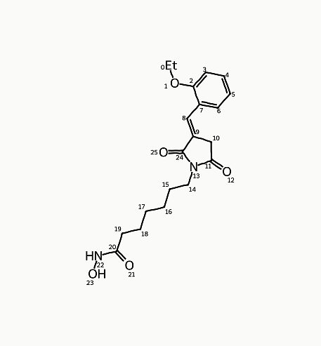 CCOc1ccccc1C=C1CC(=O)N(CCCCCCC(=O)NO)C1=O